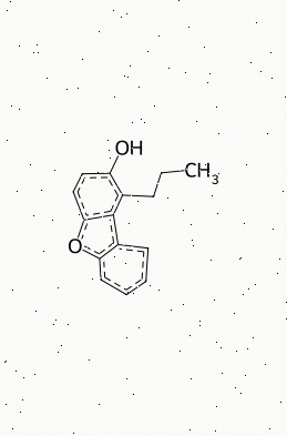 CCCc1c(O)ccc2oc3ccccc3c12